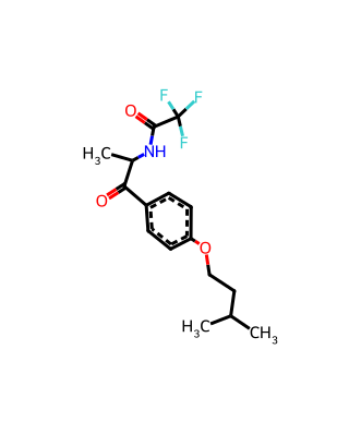 CC(C)CCOc1ccc(C(=O)C(C)NC(=O)C(F)(F)F)cc1